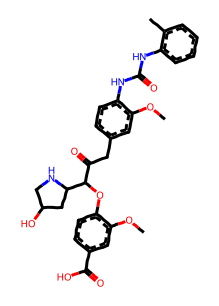 COc1cc(CC(=O)C(Oc2ccc(C(=O)O)cc2OC)C2CC(O)CN2)ccc1NC(=O)Nc1ccccc1C